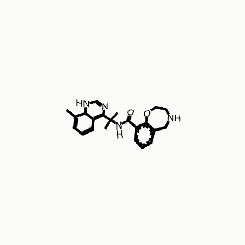 CC1=CC=CC2=C(C(C)(C)NC(=O)c3cccc4c3OCCNC4)N=CNC12